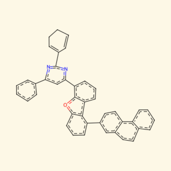 C1=CC(c2nc(-c3ccccc3)cc(-c3cccc4c3oc3cccc(-c5ccc6c(ccc7ccccc76)c5)c34)n2)=CCC1